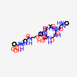 CC(C)=C1NC(=O)[C@@H](Cc2ccc(OCCCNC(=O)c3ccc(N/N=C/c4ccccc4S(=O)(=O)O)nc3)cc2)NC(=O)/C(=C\C(=O)O)NC(=O)CNC(=O)/C(=C/NC(=O)Cc2nc3ccccc3[nH]2)NC1=O